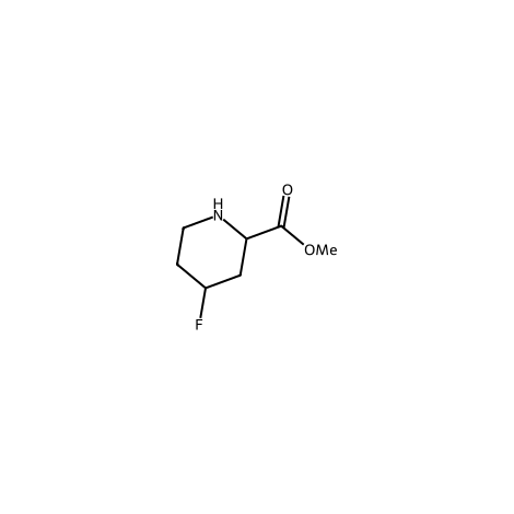 COC(=O)C1CC(F)CCN1